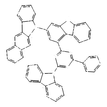 c1ccc(-c2nc(-c3cc(-n4c5ccccc5c5cc6ccccc6cc54)cc4oc5ccccc5c34)nc(-n3c4ccccc4c4ccccc43)n2)cc1